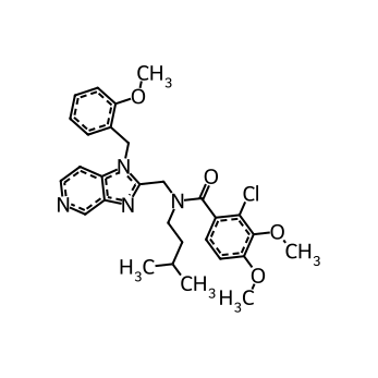 COc1ccccc1Cn1c(CN(CCC(C)C)C(=O)c2ccc(OC)c(OC)c2Cl)nc2cnccc21